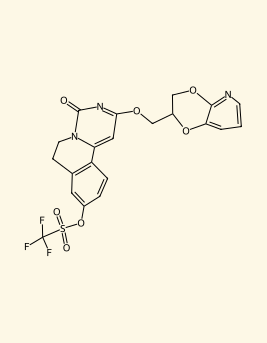 O=c1nc(OCC2COc3ncccc3O2)cc2n1CCc1cc(OS(=O)(=O)C(F)(F)F)ccc1-2